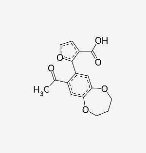 CC(=O)c1cc2c(cc1-c1occc1C(=O)O)OCCCO2